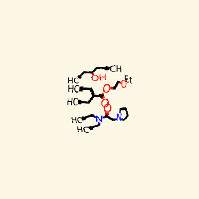 C#CCC(CC#C)C(=O)OCCOCC.C#CCC(O)CC#C.C#CCN(CC#C)C(=O)CN1CCCC1